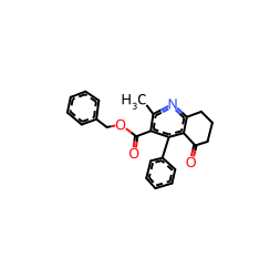 Cc1nc2c(c(-c3ccccc3)c1C(=O)OCc1ccccc1)C(=O)CCC2